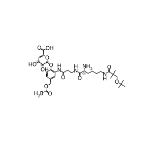 BC(=O)OCc1ccc(O[C@@H]2OC(C(=O)O)=C[C@H](O)[C@H]2O)c(NC(=O)CCNC(=O)[C@@H](N)CCCCNC(=O)C(C)(C)COC(C)(C)C)c1